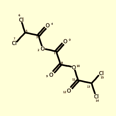 O=C(OC(=O)C(Cl)Cl)C(=O)OC(=O)C(Cl)Cl